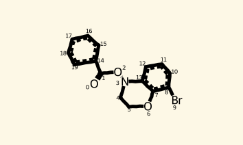 O=C(ON1CCOc2c(Br)cccc21)c1ccccc1